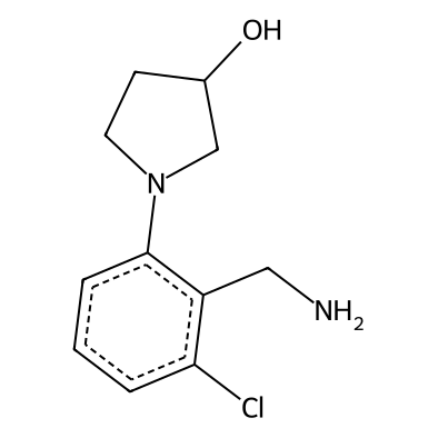 NCc1c(Cl)cccc1N1CCC(O)C1